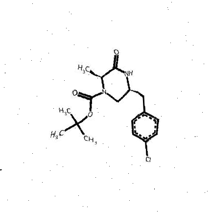 C[C@H]1C(=O)N[C@@H](Cc2ccc(Cl)cc2)CN1C(=O)OC(C)(C)C